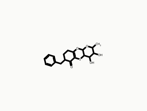 CC1OC2OC3=C(SC2C(O)C1O)C(=O)C(Cc1ccccc1)CC3